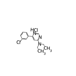 CCN(CC)c1cc(-c2cccc(Cl)c2)ncn1.Cl